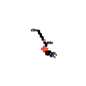 CCCCCCCCCCCCCCCCOCC(COP(=O)([O-])OC1CC2CC1C[N+]2(C)C)OC(C)=O